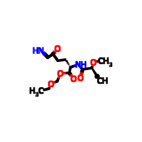 C#C[C@H](OC)C(=O)N[C@@H](CCC(=O)C=N)C(=O)OCOCC